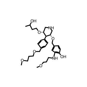 COCCCNc1cc(CO[C@H]2CNC[C@@H](OCCC(C)O)C2c2ccc(COCCCOC)cc2)ccc1O